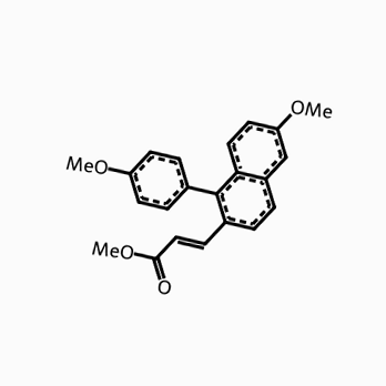 COC(=O)C=Cc1ccc2cc(OC)ccc2c1-c1ccc(OC)cc1